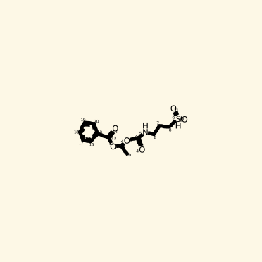 CC(OC(=O)NCCC[SH](=O)=O)OC(=O)c1ccccc1